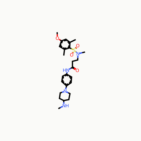 CNC1CCN(c2ccc(NC(=O)CCN(C)S(=O)(=O)c3c(C)cc(OC)cc3C)cc2)CC1